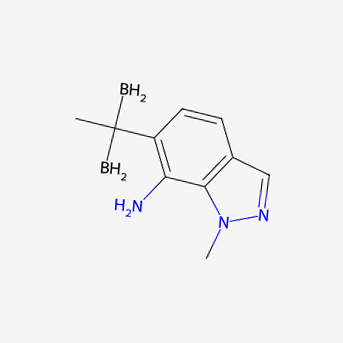 BC(B)(C)c1ccc2cnn(C)c2c1N